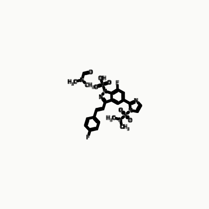 CN(C)C=O.CN(C)S(=O)(=O)n1ccnc1-c1cc(F)c2c(c1)c(/C=C/c1ccc(F)cc1)nn2S(=O)(=O)O